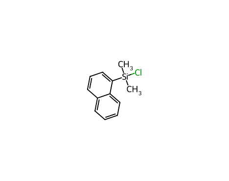 C[Si](C)(Cl)c1cccc2ccccc12